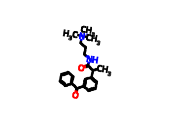 CC(C(=O)NCCC[N+](C)(C)C)c1cccc(C(=O)c2ccccc2)c1